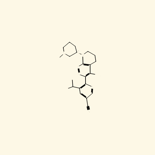 Cc1c(-c2ncc(C#N)cc2C(F)F)nnc2c1CCCN2[C@@H]1CCCN(C)C1